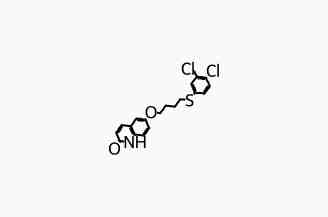 O=c1ccc2cc(OCCCCSc3ccc(Cl)c(Cl)c3)ccc2[nH]1